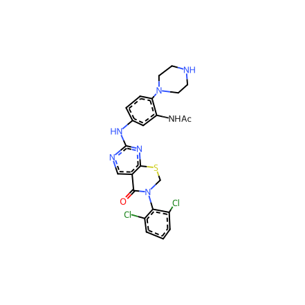 CC(=O)Nc1cc(Nc2ncc3c(n2)SCN(c2c(Cl)cccc2Cl)C3=O)ccc1N1CCNCC1